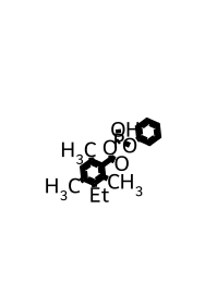 CCc1c(C)cc(C)c(C(=O)OP(O)Oc2ccccc2)c1C